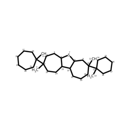 CC1(C2(C)CCC3SC4CC(C)(C5(C)CCCCC5)CCCC4C3CC2)CCCCCC1